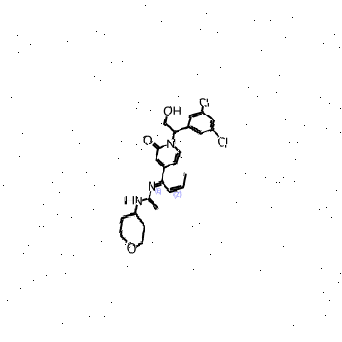 C=C(/N=C(\C=C/C)c1ccn(C(CO)c2cc(Cl)cc(Cl)c2)c(=O)c1)NC1CCOCC1